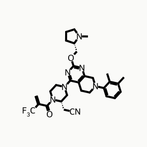 C=C(C(=O)N1CCN(c2nc(OC[C@@H]3CCCN3C)nc3c2CCN(c2cccc(C)c2C)C3)C[C@@H]1CC#N)C(F)(F)F